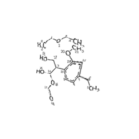 CCOCC.CCc1ccc(C(CO)C(O)OC=O)c(OC)c1